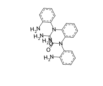 NC(=O)N(c1ccccc1N)c1ccccc1N(C(N)=O)c1ccccc1N